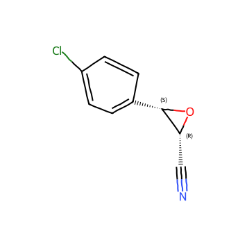 N#C[C@H]1O[C@H]1c1ccc(Cl)cc1